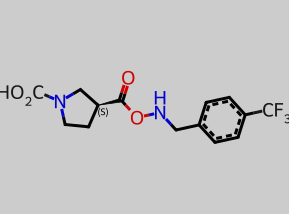 O=C(ONCc1ccc(C(F)(F)F)cc1)[C@H]1CCN(C(=O)O)C1